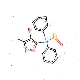 Cc1noc([N+]([PH2]=O)(c2ccccc2)c2ccccc2)c1Br